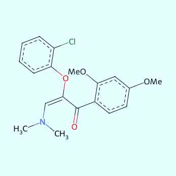 COc1ccc(C(=O)C(=CN(C)C)Oc2ccccc2Cl)c(OC)c1